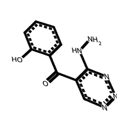 NNc1nnncc1C(=O)c1ccccc1O